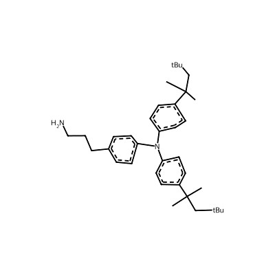 CC(C)(C)CC(C)(C)c1ccc(N(c2ccc(CCCN)cc2)c2ccc(C(C)(C)CC(C)(C)C)cc2)cc1